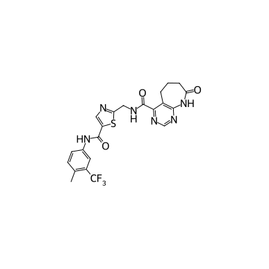 Cc1ccc(NC(=O)c2cnc(CNC(=O)c3ncnc4c3CCCC(=O)N4)s2)cc1C(F)(F)F